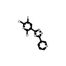 Fc1cc(-c2nnc(-c3cccnc3)o2)c(Cl)nc1Cl